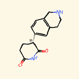 O=C1CC[C@H](c2ccc3c(c2)CCNC3)C(=O)N1